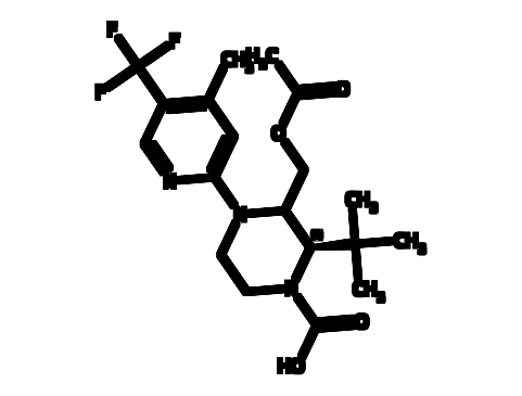 CC(=O)OCC1[C@@H](C(C)(C)C)N(C(=O)O)CCN1c1cc(C)c(C(F)(F)F)cn1